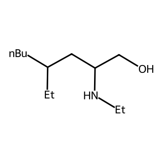 CCCCC(CC)CC(CO)NCC